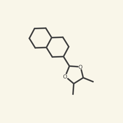 CC1OC(C2CCC3CCCCC3C2)OC1C